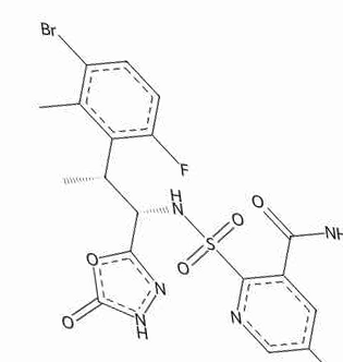 Cc1c(Br)ccc(F)c1[C@@H](C)[C@H](NS(=O)(=O)c1ncc(Cl)cc1C(N)=O)c1n[nH]c(=O)o1